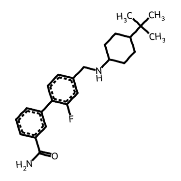 CC(C)(C)C1CCC(NCc2ccc(-c3cccc(C(N)=O)c3)c(F)c2)CC1